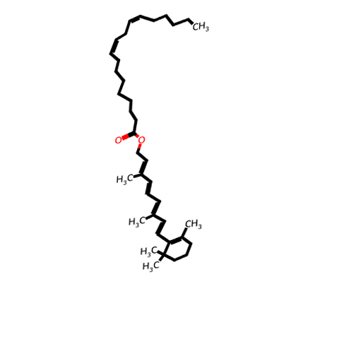 CCCCC/C=C\C/C=C\CCCCCCCC(=O)OC/C=C(C)/C=C/C=C(C)/C=C/C1=C(C)CCCC1(C)C